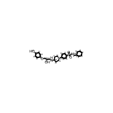 O=S(=O)(NCc1ccccc1)c1ccc(N2CCC(NC[C@H](O)COc3ccc(O)cc3)CC2)cc1